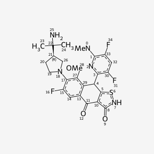 CNc1nc(C2c3s[nH]c(=O)c3C(=O)c3cc(F)c(N4CC[C@@H](C(C)(C)N)C4)c(OC)c32)c(F)cc1F